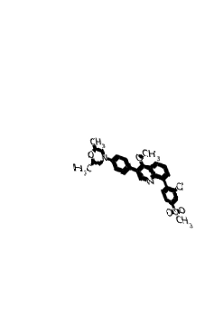 COc1c(-c2ccc(N3CC(C)OC(C)C3)cc2)cnc2c(-c3ccc(S(C)(=O)=O)cc3Cl)cccc12